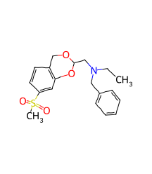 CCN(Cc1ccccc1)CC1OCc2ccc(S(C)(=O)=O)cc2O1